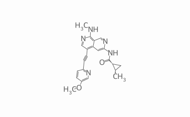 CNc1ncc(C#Cc2ccc(OC)cn2)c2cc(NC(=O)[C@H]3C[C@H]3C)ncc12